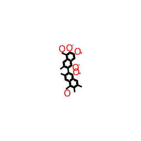 COc1cc2c(OC)c(-c3c(C)cc4c(C=O)c(C)c(C)cc4c3OC)c(C)cc2c(C=O)c1OC